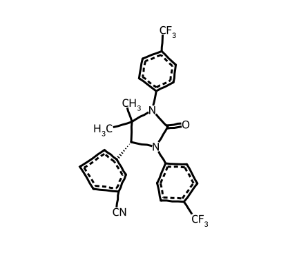 CC1(C)[C@@H](c2cccc(C#N)c2)N(c2ccc(C(F)(F)F)cc2)C(=O)N1c1ccc(C(F)(F)F)cc1